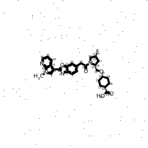 Cn1cc(-c2nc3ccc(CC(=O)N4C[C@@H](F)C[C@H]4CO[C@H]4CC[C@H](C(=O)O)CC4)cc3o2)c2cccnc21